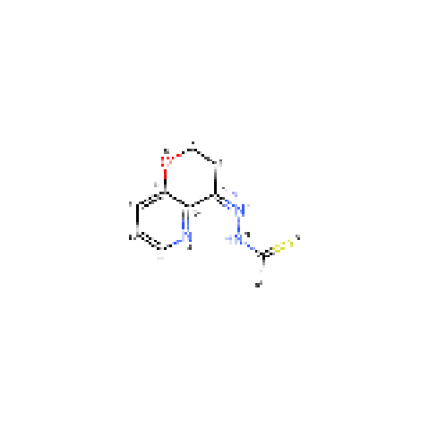 CC(=S)N/N=C1/CCOc2cccnc21